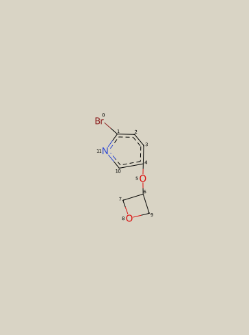 Brc1ccc(OC2COC2)cn1